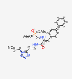 COP(=O)(CN[C@@H](Cc1ccc(-c2ccccc2)cc1)C(=O)NCCc1nnnn1CCC#N)OC